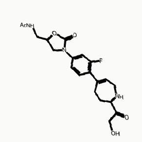 CC(=O)NCC1CN(c2ccc(C3=CCNC(C(=O)CO)CC3)c(F)c2)C(=O)O1